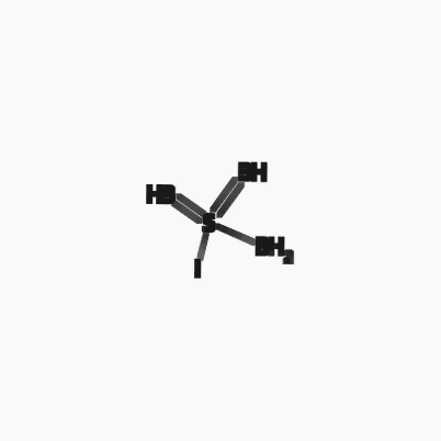 B=S(=B)(B)I